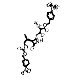 CC(COC(=O)OCc1ccc([N+](=O)[O-])cc1)=C1C(=O)N[C@@H]1CC(=O)C(=[N+]=[N-])C(=O)OCc1ccc([N+](=O)[O-])cc1